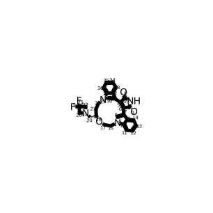 O=C1NC(=O)C2=C1c1cn(c3ccccc13)CCO[C@H](CN1CC(F)(F)C1)CCn1cc2c2ccccc21